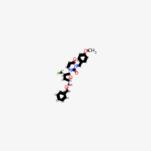 COc1ccc(Cn2c(=O)ccn([C@@H]3O[C@H](COCc4ccccc4)C[C@@H]3CF)c2=O)cc1